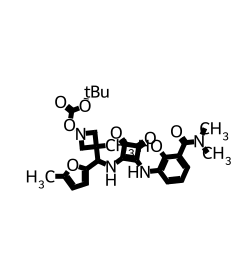 Cc1ccc(C(Nc2c(Nc3cccc(C(=O)N(C)C)c3O)c(=O)c2=O)C2(C)CN(OC(=O)OC(C)(C)C)C2)o1